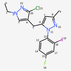 CCn1cc(Cc2cc(C)nn2-c2ccc(F)cc2I)c(Cl)n1